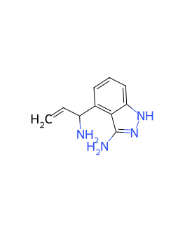 C=CC(N)c1cccc2[nH]nc(N)c12